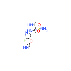 CC(=N)/C(=C(/C)Nc1cc(OC2CNC2)c(F)cn1)S(N)(=O)=O